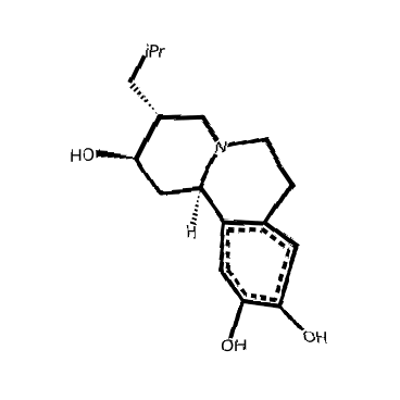 CC(C)C[C@@H]1CN2CCc3cc(O)c(O)cc3[C@H]2C[C@H]1O